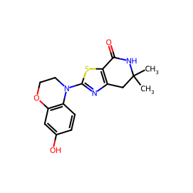 CC1(C)Cc2nc(N3CCOc4cc(O)ccc43)sc2C(=O)N1